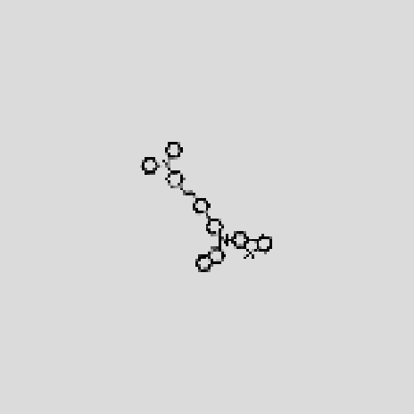 CC1(C)c2ccccc2-c2ccc(N(c3ccc(-c4ccc(/C=C/C5=CC=C(N(c6ccccc6)c6ccccc6)CC5)cc4)cc3)c3ccc4ccccc4c3)cc21